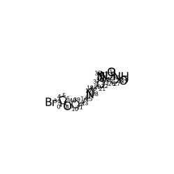 Cc1c(Br)cccc1OC1CCC(CCCN2CC[C@@H](c3ccc4c([C@@H]5CCC(=O)NC5=O)nn(C)c4c3)C2)CC1